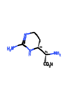 NC1=NCC[C@H]([C@H](N)C(=O)O)N1